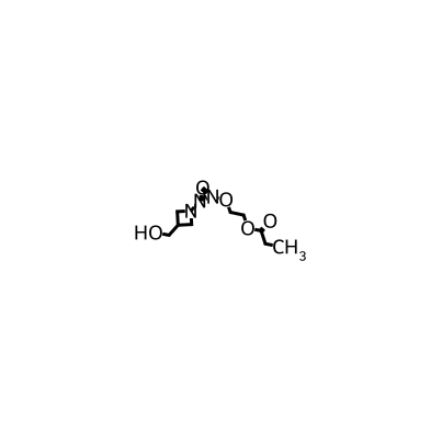 CCC(=O)OCCOn1on1N1CC(CO)C1